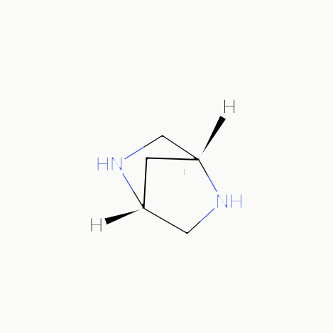 C1N[C@H]2CN[C@@H]1C2